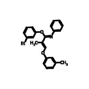 CCc1cccc(OC(=N\c2ccccc2)/C(C)=C/Oc2cccc(C)c2)c1